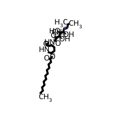 CCCCCCCCCCCCCC(=O)O[C@H]1CC[C@H](NC(=O)[C@H](OC)[C@H](O)[C@@H](O)[C@H](O)/C=C/C(C)C)C(=O)NC1